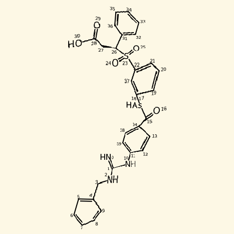 N=C(NCc1ccccc1)Nc1ccc(C(=O)[AsH]c2cccc(S(=O)(=O)[C@@H](CC(=O)O)c3ccccc3)c2)cc1